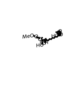 COCCOCCOC(C)[C@@H]1OC(O)O[C@@H]2C1=CC2CCCCCCCC1C2OC3OC(C2C)C(O)C1O3